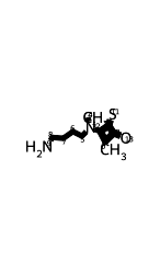 Cc1c(N(C)CCCCN)c(=S)c1=O